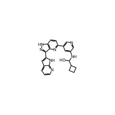 OC(Nc1cncc(-c2ccc3[nH]nc(-c4cc5cccnc5[nH]4)c3n2)c1)C1CCC1